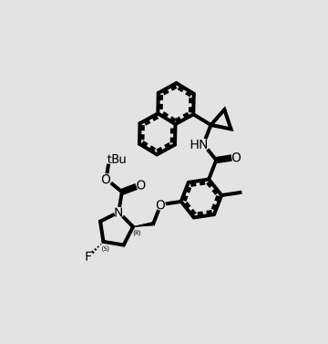 Cc1ccc(OC[C@H]2C[C@H](F)CN2C(=O)OC(C)(C)C)cc1C(=O)NC1(c2cccc3ccccc23)CC1